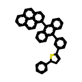 C1=C(c2cccc(-c3c4ccccc4c(-c4ccc5ccc6cccc7ccc4c5c67)c4ccccc34)c2)SC(c2ccccc2)C1